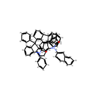 C1=CC2=C(CC1)C1(c3ccccc3)c3ccccc3-c3cccc(c31)C2(c1ccccc1)c1ccccc1N(c1ccccc1)c1ccc2c3ccccc3n(-c3ccc4ccccc4c3)c2c1